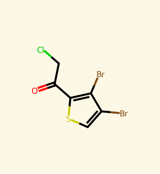 O=C(CCl)c1scc(Br)c1Br